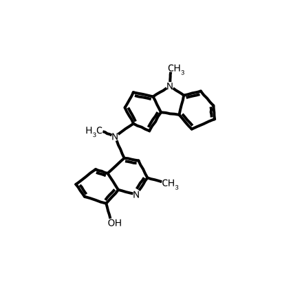 Cc1cc(N(C)c2ccc3c(c2)c2ccccc2n3C)c2cccc(O)c2n1